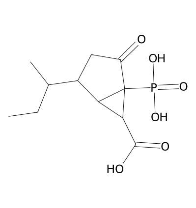 CCC(C)C1CC(=O)C2(P(=O)(O)O)C(C(=O)O)C12